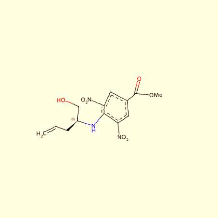 C=CC[C@@H](CO)Nc1c([N+](=O)[O-])cc(C(=O)OC)cc1[N+](=O)[O-]